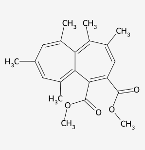 COC(=O)C1=C(C(=O)OC)C2=C(C)C=C(C)C=C(C)C2=C(C)C(C)=C1